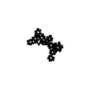 CC1(C)c2cc(N(c3ccccc3)c3ccc(-c4ccccc4)cc3)ccc2-c2c1cc(-c1ccc(N(c3ccc(-c4ccccc4)cc3)c3c(F)c(F)c(F)c(F)c3F)nc1)c1ccccc21